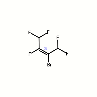 F/C(=C(\Br)C(F)F)C(F)F